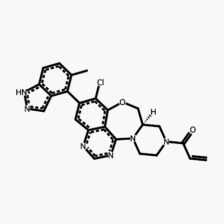 C=CC(=O)N1CCN2c3ncnc4cc(-c5c(C)ccc6[nH]ncc56)c(Cl)c(c34)OC[C@H]2C1